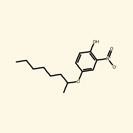 CCCCCCC(C)Oc1ccc(O)c([N+](=O)[O-])c1